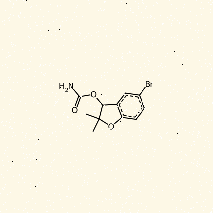 CC1(C)Oc2ccc(Br)cc2C1OC(N)=O